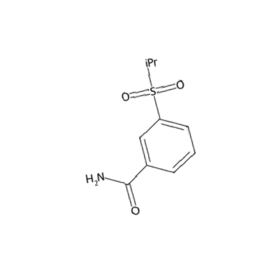 CC(C)S(=O)(=O)c1cccc(C(N)=O)c1